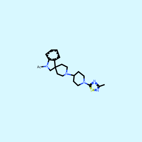 CC(=O)N1CC2(CCN(C3CCN(c4nc(C)ns4)CC3)CC2)c2ccccc21